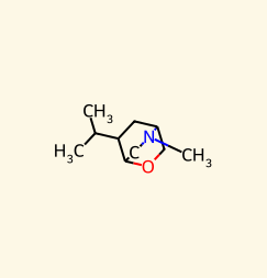 CC(C)C1CC2COC1CN2C